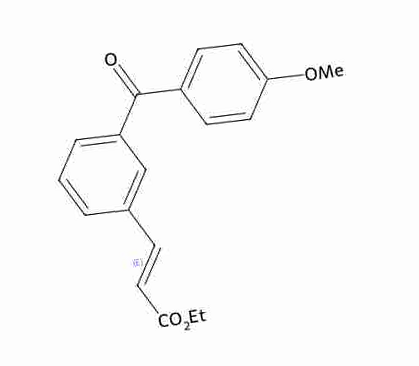 CCOC(=O)/C=C/c1cccc(C(=O)c2ccc(OC)cc2)c1